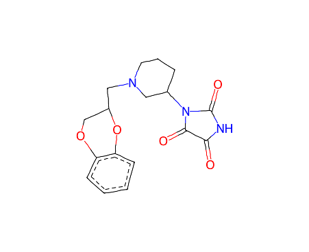 O=C1NC(=O)N(C2CCCN(CC3COc4ccccc4O3)C2)C1=O